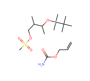 C=CCOC(N)=O.CC(COS(C)(=O)=O)C(C)O[Si](C)(C)C(C)(C)C